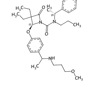 CCCN(C(=O)N1C(=O)C(CC)(CC)[C@@H]1Oc1ccc(C(C)NCCCOC)cc1)[C@H](C)c1ccccc1